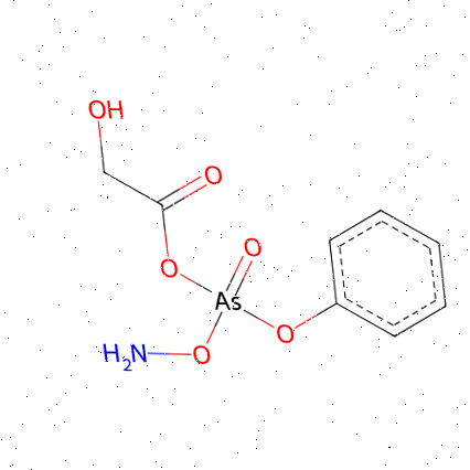 NO[As](=O)(OC(=O)CO)Oc1ccccc1